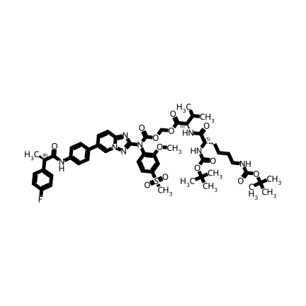 COc1cc(S(C)(=O)=O)ccc1N(C(=O)OCOC(=O)[C@@H](NC(=O)[C@H](CCCCNC(=O)OC(C)(C)C)NC(=O)OC(C)(C)C)C(C)C)c1nc2ccc(-c3ccc(NC(=O)[C@H](C)c4ccc(F)cc4)cc3)cn2n1